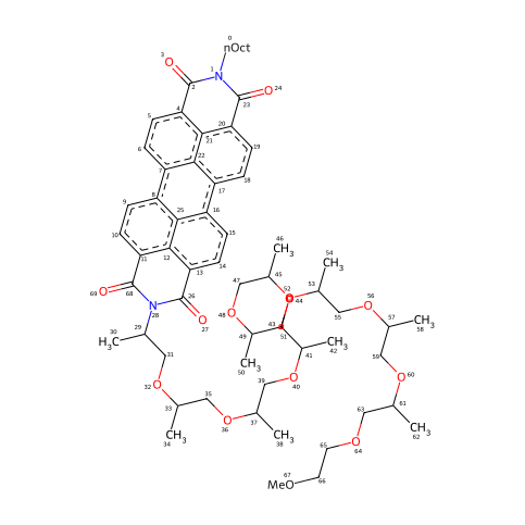 CCCCCCCCN1C(=O)c2ccc3c4ccc5c6c(ccc(c7ccc(c2c37)C1=O)c64)C(=O)N(C(C)COC(C)COC(C)COC(C)COC(C)COC(C)COC(C)COC(C)COC(C)COCCOC)C5=O